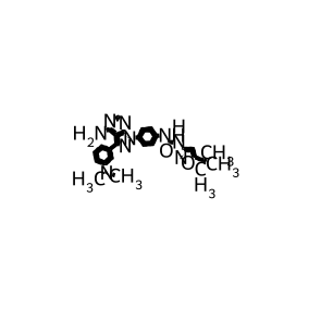 CN(C)c1cccc(-c2nn(-c3ccc(NC(=O)Nc4cc(C(C)(C)C)on4)cc3)c3ncnc(N)c23)c1